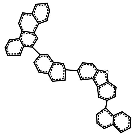 c1ccc2c(-c3ccc4oc5ccc(-c6ccc7ccc(-c8cc9c%10ccccc%10ccc9c9ccccc89)cc7c6)cc5c4c3)cccc2c1